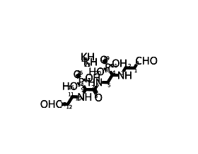 O=CCCNC(CNC(=O)C(NCCC=O)P(=O)(O)O)P(=O)(O)O.[KH].[KH]